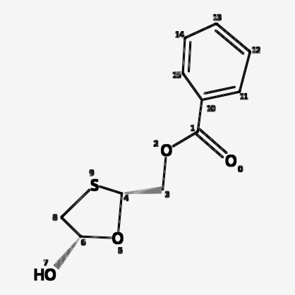 O=C(OC[C@@H]1O[C@H](O)CS1)c1ccccc1